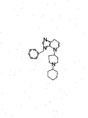 C1=CN(C2CCN(C3CCCCC3)CC2)c2c(ncn2Cc2ccccc2)C1